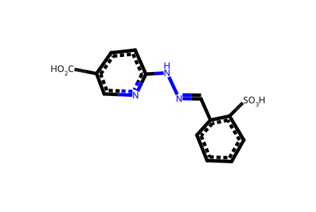 O=C(O)c1ccc(NN=Cc2ccccc2S(=O)(=O)O)nc1